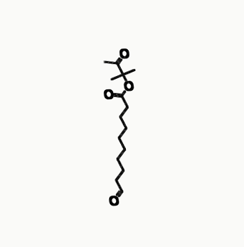 CC(=O)C(C)(C)OC(=O)CCCCCCCCC=O